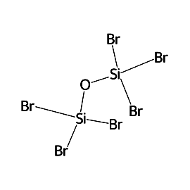 Br[Si](Br)(Br)O[Si](Br)(Br)Br